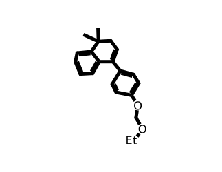 CCOCOc1ccc(C2=CCC(C)(C)c3ccccc32)cc1